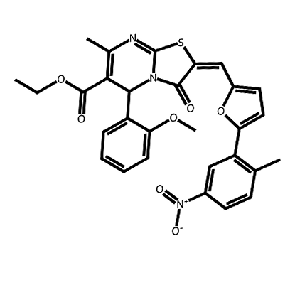 CCOC(=O)C1=C(C)N=c2s/c(=C/c3ccc(-c4cc([N+](=O)[O-])ccc4C)o3)c(=O)n2C1c1ccccc1OC